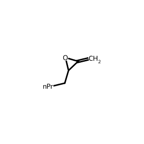 C=C1OC1CCCC